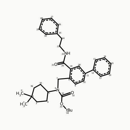 CC1(C)CCC(N(Cc2ccc(-c3ccccc3)cc2C(=O)NCCc2ccccc2)C(=O)OC(C)(C)C)CC1